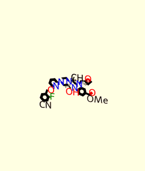 COC(=O)c1ccc2nc([C@H](C)N3CCN(c4cccc(OCc5ccc(C#N)cc5F)n4)C[C@@H]3CO)n(C[C@@H]3CCO3)c2c1